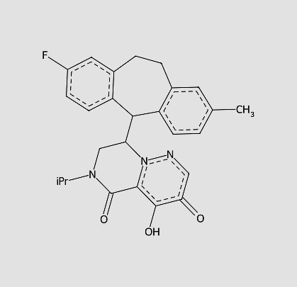 Cc1ccc2c(c1)CCc1cc(F)ccc1C2C1CN(C(C)C)C(=O)c2c(O)c(=O)cnn21